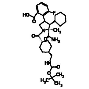 CC(C)(C)OC(=O)NC[C@H]1CC[C@H](C(=O)N2CC(c3c(F)cccc3C(=O)O)[C@@H](C3CCCCC3)[C@@]2(C)C(N)=O)CC1